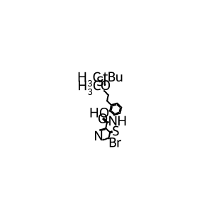 CC(C)(C)[Si](C)(C)OCCCc1cccc(NC(=O)C2=CN=C[C@H](Br)C2=S)c1O